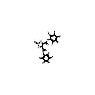 O=C(Oc1c(F)c(F)c(F)c(F)c1F)C1OS(=O)OC1C(=O)Oc1c(F)c(F)c(F)c(F)c1F